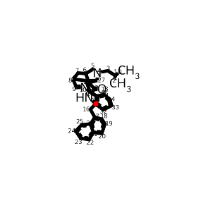 CC(C)CN1CC2CC3C=NC2(C(=O)NCCc2cccc4ccccc24)C1C3Cc1ccccc1